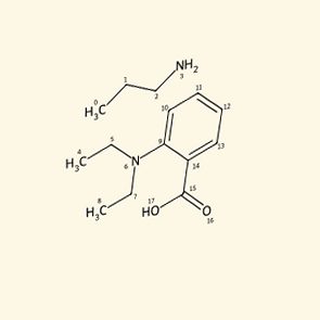 CCCN.CCN(CC)c1ccccc1C(=O)O